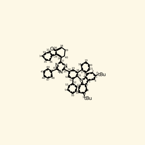 CC(C)(C)c1ccc2c(c1)c1cc(C(C)(C)C)ccc1n2-c1c(-c2ccccc2)cc(-c2nc(C3=c4c(oc5ccccc45)=CCC3)nc(-c3ccccc3)n2)cc1-c1ccccc1